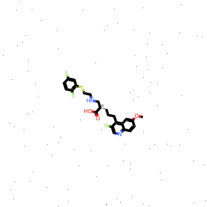 COc1ccc2ncc(F)c(CCC[C@@H](CNCCSc3cc(F)ccc3F)C(=O)O)c2c1